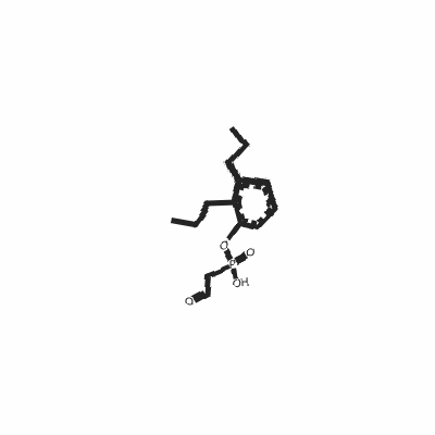 CCCc1cccc(OP(=O)(O)CC=O)c1CCC